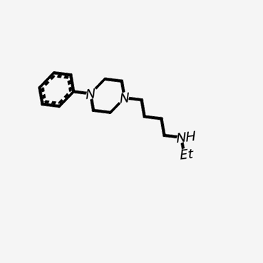 CCNCCCCN1CCN(c2ccccc2)CC1